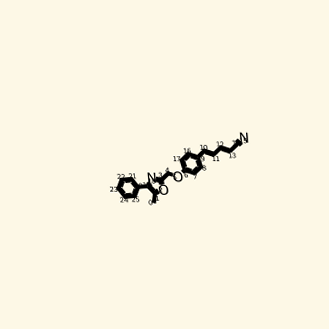 Cc1oc(COc2ccc(C=CC=CC#N)cc2)nc1-c1ccccc1